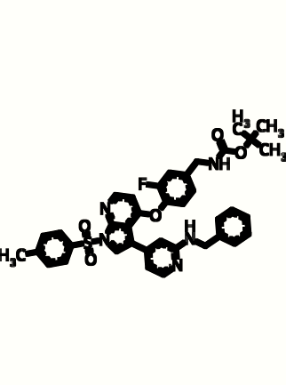 Cc1ccc(S(=O)(=O)n2cc(-c3ccnc(NCc4ccccc4)c3)c3c(Oc4ccc(CNC(=O)OC(C)(C)C)cc4F)ccnc32)cc1